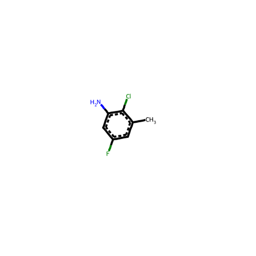 Cc1cc(F)cc(N)c1Cl